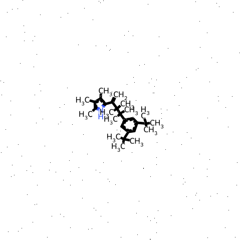 C=C(c1[nH]c(C)c(C)c1C)C(C)(C)C(C)(C)c1cc(C(C)(C)C)cc(C(C)(C)C)c1